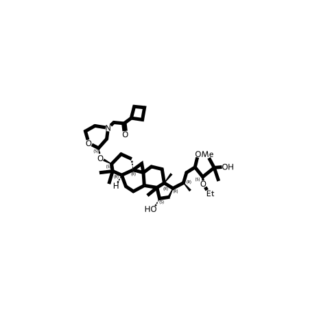 CCO[C@@H](C(C[C@@H](C)[C@H]1C[C@H](O)C2(C)C3CC[C@H]4C(C)(C)[C@@H](O[C@H]5CN(CC(=O)C6CCC6)CCO5)CC[C@@]45CC35CC[C@]12C)OC)C(C)(C)O